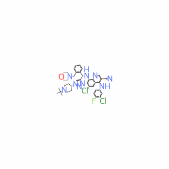 CC(C)(C)N1CCC(n2cc([C@@H](Nc3cc(Cl)cc4c(Nc5ccc(F)c(Cl)c5)c(C#N)cnc34)c3ccccc3CN3CCOCC3)nn2)CC1